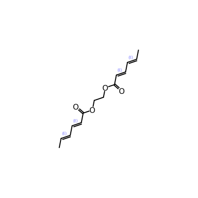 C/C=C/C=C/C(=O)OCCOC(=O)/C=C/C=C/C